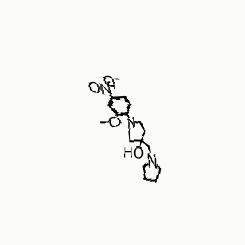 COc1cc([N+](=O)[O-])ccc1N1CCC(O)(CN2CCCC2)CC1